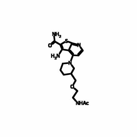 CC(=O)NCCOCC1CCCN(c2ccnc3sc(C(N)=O)c(N)c23)C1